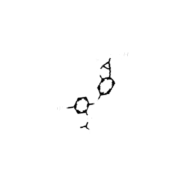 CC(C)(C)c1ccc(Oc2ccc3c(c2)O[C@H]2C(C(=O)O)C32)c(OC(F)F)c1